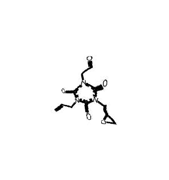 C=CCn1c(=O)n(CC=O)c(=O)n(CC2CO2)c1=O